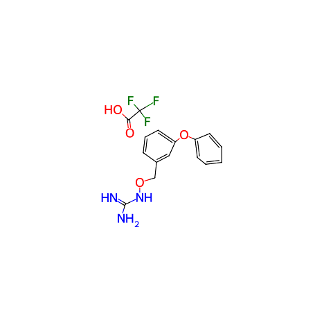 N=C(N)NOCc1cccc(Oc2ccccc2)c1.O=C(O)C(F)(F)F